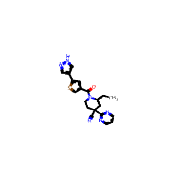 CCC1CC(C#N)(c2ncccn2)CCN1C(=O)c1csc(-c2cn[nH]c2)c1